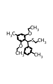 CCOc1cc(C)cc(OCC)c1C(SCC)c1cccc(C)c1